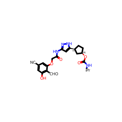 CC(C)NC(=O)O[C@@H]1CC[C@H](c2cc(NC(=O)COc3cc(C#N)cc(O)c3C=O)n[nH]2)C1